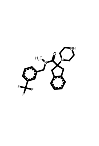 CN(Cc1cccc(C(F)(F)F)c1)C(=O)C1(N2CCNCC2)Cc2ccccc2C1